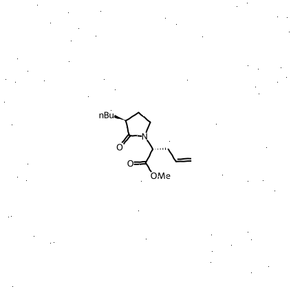 C=CC[C@H](C(=O)OC)N1CC[C@H](CCCC)C1=O